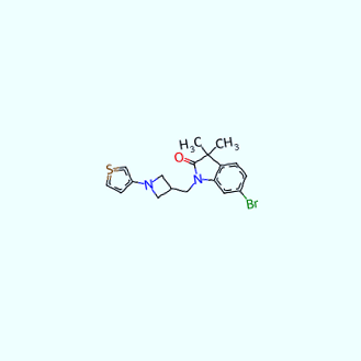 CC1(C)C(=O)N(CC2CN(c3ccsc3)C2)c2cc(Br)ccc21